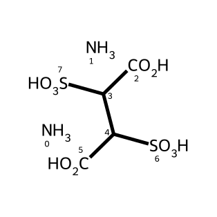 N.N.O=C(O)C(C(C(=O)O)S(=O)(=O)O)S(=O)(=O)O